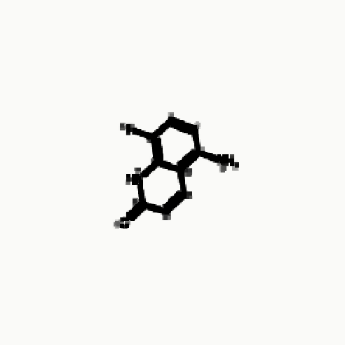 Nc1ccc(F)c2[nH]c(=O)ccc12